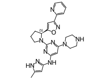 Cc1cc(Nc2cc(N3CCNCC3)nc(N3CCC[C@H]3c3cc(-c4ccccn4)no3)n2)n[nH]1